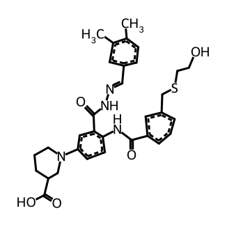 Cc1ccc(C=NNC(=O)c2cc(N3CCCC(C(=O)O)C3)ccc2NC(=O)c2cccc(CSCCO)c2)cc1C